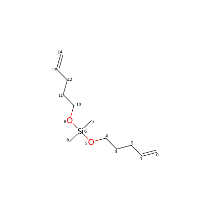 C=CCCCO[Si](C)(C)OCCCC=C